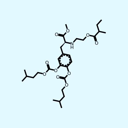 CCC(C)C(=O)OCCN[C@@H](Cc1ccc(OC(=O)OCCC(C)C)c(OC(=O)OCCC(C)C)c1)C(=O)OC